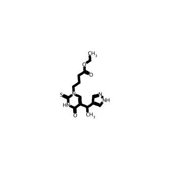 CCOC(=O)CCCn1cc(C(C)c2cn[nH]c2)c(=O)[nH]c1=S